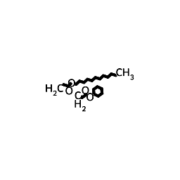 C=CC(=O)OC1CCCCC1.C=CC(=O)OCCCCCCCCCCCC